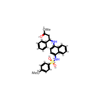 COC(=O)CC(Nc1ccc(NS(=O)(=O)c2ccc(OC)cc2)c2ccccc12)c1ccccc1